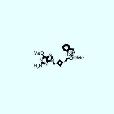 COc1nc(N)nc2c1ncn2C[C@H]1C[C@@H](CCO[PH]2(OC)OCc3ccccc3O2)C1